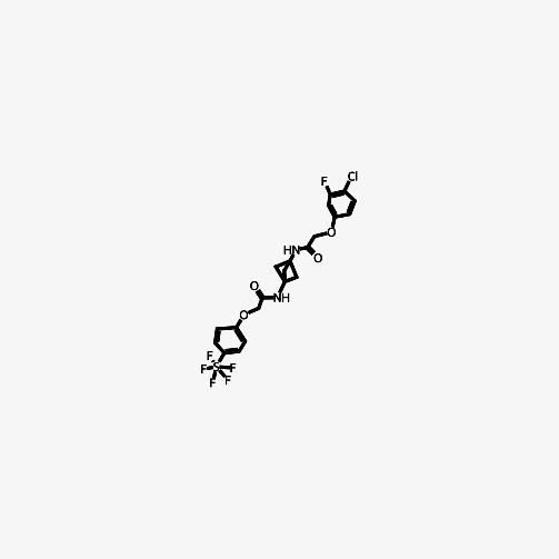 O=C(COc1ccc(S(F)(F)(F)(F)F)cc1)NC12CC(NC(=O)COc3ccc(Cl)c(F)c3)(C1)C2